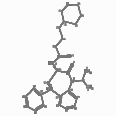 CC(C)N1C(=O)[C@H](NC(=O)CCCC2CCCCC2)N=C(c2ccccc2)c2ccccc21